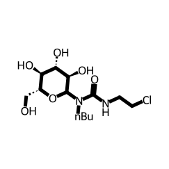 CCCCN(C(=O)NCCCl)C1O[C@H](CO)[C@@H](O)[C@H](O)[C@H]1O